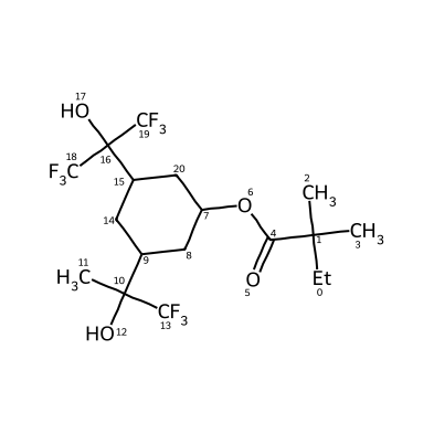 CCC(C)(C)C(=O)OC1CC(C(C)(O)C(F)(F)F)CC(C(O)(C(F)(F)F)C(F)(F)F)C1